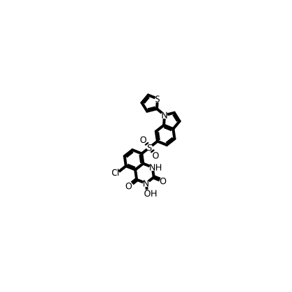 O=c1[nH]c2c(S(=O)(=O)c3ccc4ccn(-c5cccs5)c4c3)ccc(Cl)c2c(=O)n1O